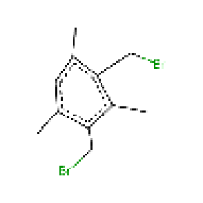 Cc1cc(C)c(CBr)c(C)c1CBr